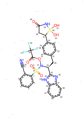 N#Cc1ccccc1S(=O)(=O)N(OC(=O)C(F)(F)F)[C@@H](Cc1ccc(C2CC(=O)NS2(O)O)cc1)c1nc2ccccc2[nH]1